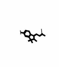 CC(I)CCC1C2CC=C(I)C=C2C(C)(C)C1C